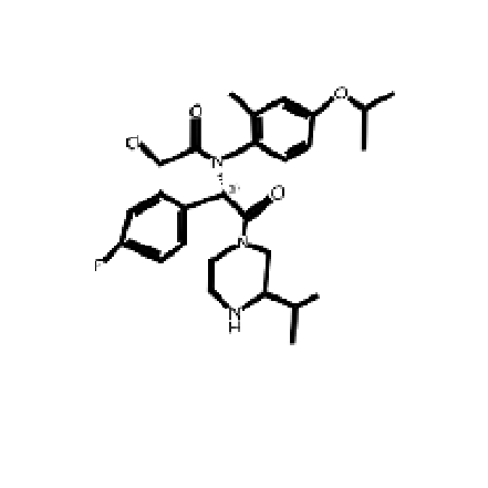 Cc1cc(OC(C)C)ccc1N(C(=O)CCl)[C@H](C(=O)N1CCNC(C(C)C)C1)c1ccc(F)cc1